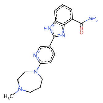 CN1CCCN(c2ccc(-c3nc4c(C(N)=O)cccc4[nH]3)cn2)CC1